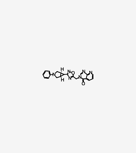 O=c1c2cccnc2ncn1Cc1nc(C2[C@H]3CN(c4ccccc4)C[C@@H]23)no1